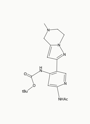 CC(=O)Nc1cc(NC(=O)OC(C)(C)C)c(-c2cc3n(n2)CCN(C)C3)cn1